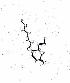 C/C=C/C1OC(=O)C=CC1OCOCCOC